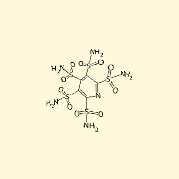 NS(=O)(=O)c1nc(S(N)(=O)=O)c(S(N)(=O)=O)c(S(N)(=O)=O)c1S(N)(=O)=O